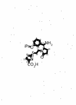 CC(C)Oc1cccc(C(N)[C@H]2CCC(=O)N2CCSc2nc(C(=O)O)cs2)c1